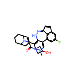 CN1C=C2C(=C(C3=CC4CCCC(C3)N4CC(=O)N3CC(O)C3)C1)NN=C1C=Cc3cc(F)cc2c31